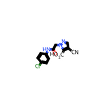 N#Cc1cnn(CC(=O)Nc2ccc(Cl)cc2)c1C(=O)O